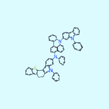 c1ccc(N(c2ccc(-c3ccccc3N(c3ccccc3)c3ccc4c5ccccc5n(-c5ccccc5)c4c3)cc2)c2ccc3c4c(n(-c5ccccc5)c3c2)CCc2c-4sc3ccccc23)cc1